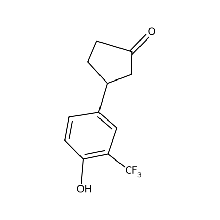 O=C1CCC(c2ccc(O)c(C(F)(F)F)c2)C1